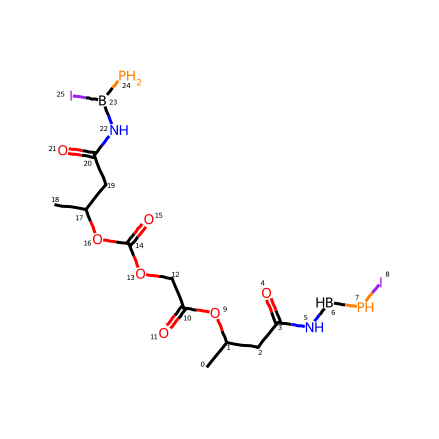 CC(CC(=O)NBPI)OC(=O)COC(=O)OC(C)CC(=O)NB(P)I